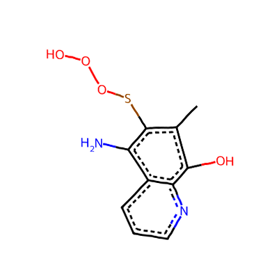 Cc1c(SOOO)c(N)c2cccnc2c1O